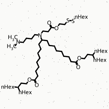 CCCCCCSSCCOC(=O)CCN(CCCCN(C)C)C(CCCCCCCCC(=O)OCCC(CCCCCC)CCCCCC)CCCCCCCCC(=O)OCCC(CCCCCC)CCCCCC